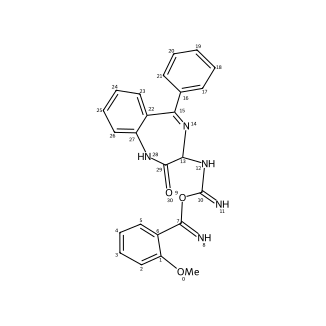 COc1ccccc1C(=N)OC(=N)NC1N=C(c2ccccc2)c2ccccc2NC1=O